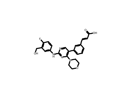 O=C(O)C=Cc1cccc(-c2cnc(Nc3ccc(F)c(CO)c3)nc2N2CCOCC2)c1